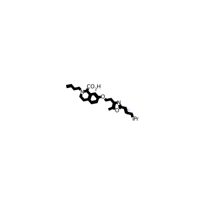 C=CCCN1CCc2ccc(OCCc3nc(/C=C/CC(C)C)oc3C)cc2C1C(=O)O